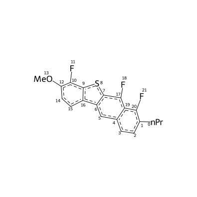 CCCc1ccc2cc3c(sc4c(F)c(OC)ccc43)c(F)c2c1F